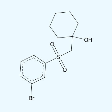 O=S(=O)(CC1(O)CCCCC1)c1cccc(Br)c1